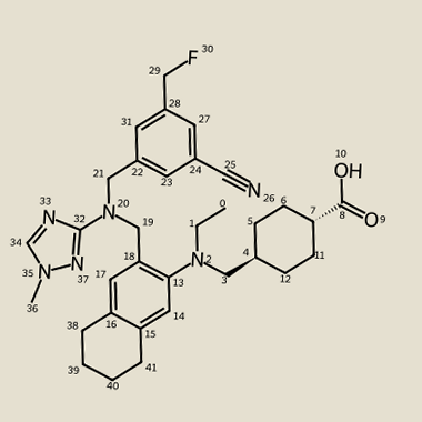 CCN(C[C@H]1CC[C@H](C(=O)O)CC1)c1cc2c(cc1CN(Cc1cc(C#N)cc(CF)c1)c1ncn(C)n1)CCCC2